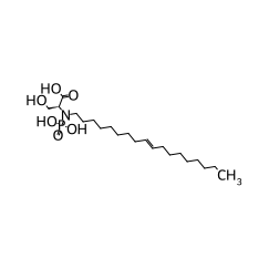 CCCCCCCC/C=C/CCCCCCCCN([C@@H](CO)C(=O)O)P(=O)(O)O